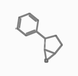 [c]1cccc(C2CCC3OC32)c1